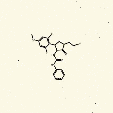 COc1cc(F)c(C2CN(CCO)C(=O)C2NC(=O)Nc2ccccc2)c(F)c1